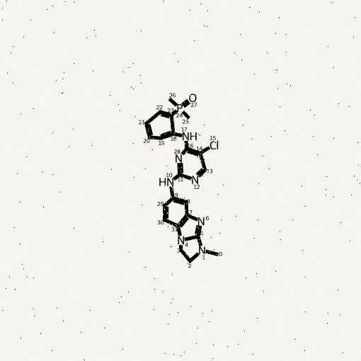 CN1CCn2c1nc1cc(Nc3ncc(Cl)c(Nc4ccccc4P(C)(C)=O)n3)ccc12